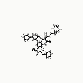 CN(CCc1ccccn1)C(=O)c1cn2c3c(c(NCCCN4CCOCC4)c(F)cc3c1=O)Oc1ccc(-c3ccccc3)cc1-2